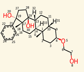 C[C@]12CC[C@H](OCCO)C[C@H]1CC[C@@H]1[C@@H]2CC[C@]2(C)[C@@](O)(c3ccccc3)CC[C@]12O